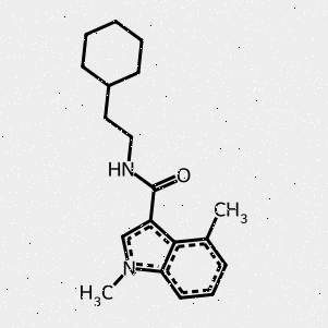 Cc1cccc2c1c(C(=O)NCCC1CCCCC1)cn2C